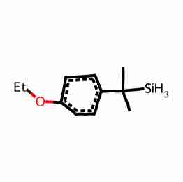 CCOc1ccc(C(C)(C)[SiH3])cc1